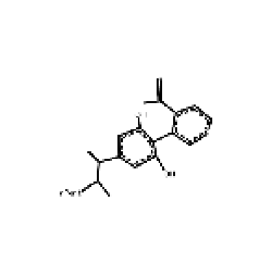 C=C(C)c1ccncc1-c1c(O)cc(C(C)C(C)CCCCC)cc1O